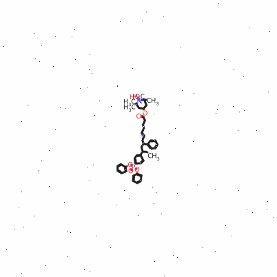 CCC(CC(C/C=C/CCCC(=O)OC1CC(C)(C)N(O)C(C)(C)C1)c1ccccc1)c1ccc(P(=O)(Oc2ccccc2)Oc2ccccc2)cc1